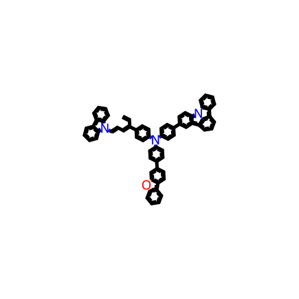 C=C/C(=C\C=C\n1c2ccccc2c2ccccc21)c1ccc(N(c2ccc(-c3ccc4c(c3)oc3ccccc34)cc2)c2ccc(-c3ccc4c(c3)c3cccc5c6ccccc6n4c53)cc2)cc1